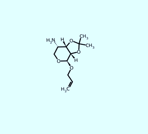 C=CCO[C@H]1OC[C@H](N)[C@@H]2OC(C)(C)O[C@H]12